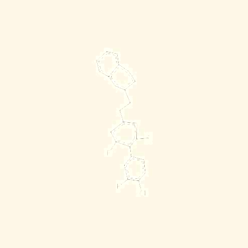 Fc1cc(-c2c(F)cc(CCc3ccc4ccccc4c3)cc2F)ccc1Cl